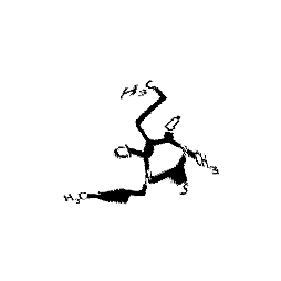 C/C=C/Cn1c(Cl)c(CCC)c(=O)n(C)c1=S